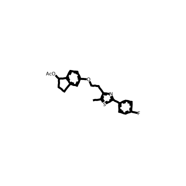 CC(=O)OC1CCc2cc(OCCc3nc(-c4ccc(F)cc4)sc3C)ccc21